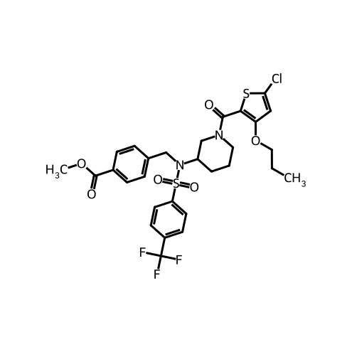 CCCOc1cc(Cl)sc1C(=O)N1CCCC(N(Cc2ccc(C(=O)OC)cc2)S(=O)(=O)c2ccc(C(F)(F)F)cc2)C1